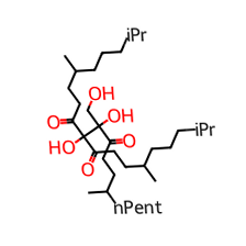 CCCCCC(C)CCC(=O)C(O)(CO)C(O)(C(=O)CCC(C)CCCC(C)C)C(=O)CCC(C)CCCC(C)C